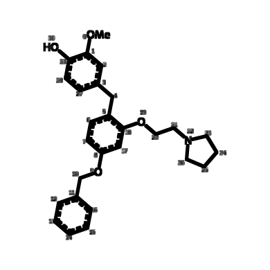 COc1cc(Cc2[c]cc(OCc3ccccc3)cc2OCCN2CCCC2)ccc1O